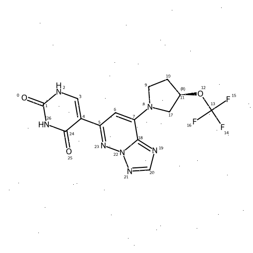 O=c1[nH]cc(-c2cc(N3CC[C@@H](OC(F)(F)F)C3)c3ncnn3n2)c(=O)[nH]1